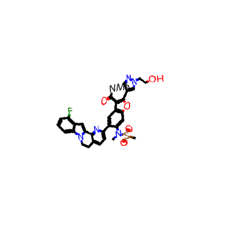 CNC(=O)c1c(-c2cnn(CCO)c2)oc2cc(N(C)S(C)(=O)=O)c(-c3ccc4c(n3)-c3cc5c(F)cccc5n3CC4)cc12